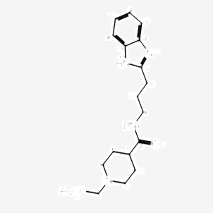 O=C(O)CN1CCC(C(=O)NCCCc2nc3ccccc3[nH]2)CC1